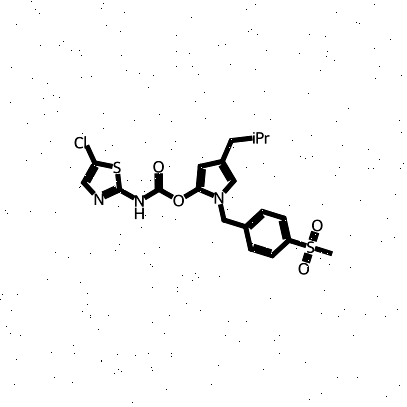 CC(C)Cc1cc(OC(=O)Nc2ncc(Cl)s2)n(Cc2ccc(S(C)(=O)=O)cc2)c1